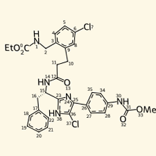 CCOC(=O)NCc1ccc(Cl)cc1CCC(=O)N[C@@H](Cc1ccccc1)c1nc(-c2ccc(NC(=O)OC)cc2)c(Cl)[nH]1